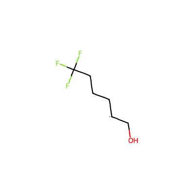 OC[CH]CCCC(F)(F)F